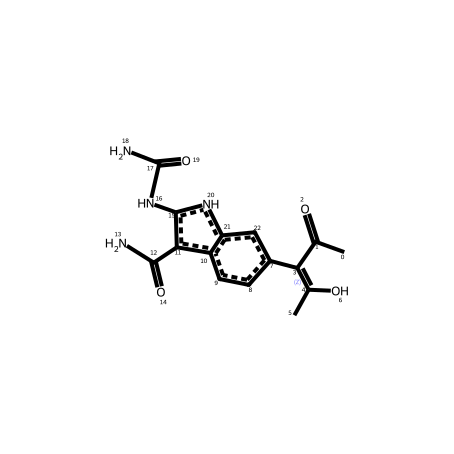 CC(=O)/C(=C(/C)O)c1ccc2c(C(N)=O)c(NC(N)=O)[nH]c2c1